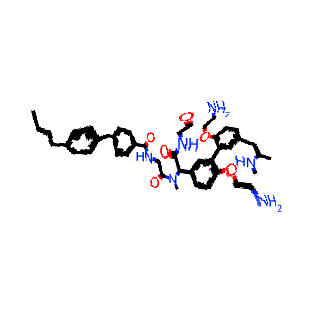 CCCCc1ccc(-c2ccc(C(=O)NCC(=O)N(C)C(C(=O)NCC=O)c3ccc(OCCN)c(-c4cc(CC(C)NC)ccc4OCCN)c3)cc2)cc1